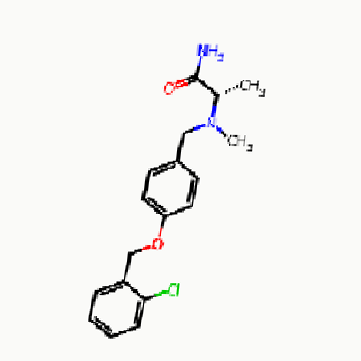 C[C@@H](C(N)=O)N(C)Cc1ccc(OCc2ccccc2Cl)cc1